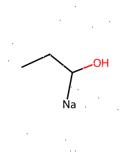 CC[CH](O)[Na]